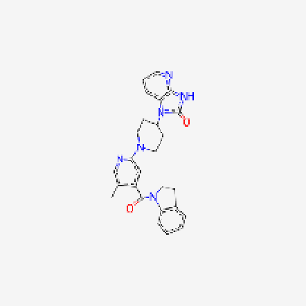 Cc1cnc(N2CCC(n3c(=O)[nH]c4ncccc43)CC2)cc1C(=O)N1CCc2ccccc21